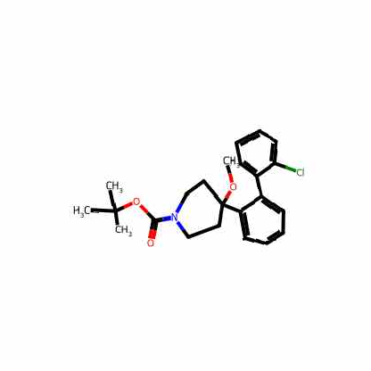 COC1(c2ccccc2-c2ccccc2Cl)CCN(C(=O)OC(C)(C)C)CC1